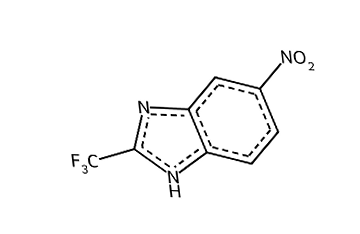 O=[N+]([O-])c1ccc2[nH]c(C(F)(F)F)nc2c1